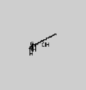 CCCCCCCCCCCCCCCCNC(=O)[C@@H]1CCNC1.Cl